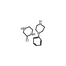 ClC1CNCCN1.c1ccc(N2CCNCC2)cc1